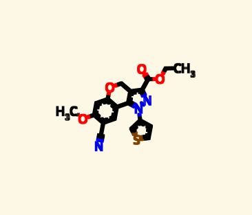 CCOC(=O)c1nn(-c2ccsc2)c2c1COc1cc(OC)c(C#N)cc1-2